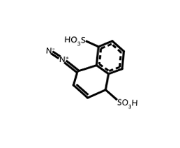 [N-]=[N+]=C1C=CC(S(=O)(=O)O)c2cccc(S(=O)(=O)O)c21